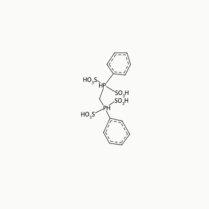 O=S(=O)(O)[PH](C[PH](c1ccccc1)(S(=O)(=O)O)S(=O)(=O)O)(c1ccccc1)S(=O)(=O)O